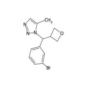 Cc1cnnn1C(c1cccc(Br)c1)C1COC1